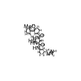 C=NN(C)/N=C(\C)c1cccc(NC(=O)/C(NO)=C(\C)NC(=O)c2ccc(OC)c(-c3c(C)cccc3C)c2)c1